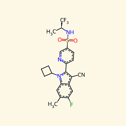 Cc1cc2c(cc1F)c(C#N)c(-c1ccc(S(=O)(=O)N[C@@H](C)C(F)(F)F)cn1)n2C1CCC1